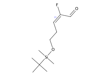 CC(C)(C)[Si](C)(C)OCC/C=C(/F)C=O